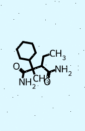 CCC(C(N)=O)C(C)(C(N)=O)C1CCCCC1